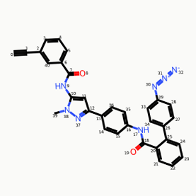 C#Cc1cccc(C(=O)Nc2cc(-c3ccc(NC(=O)c4ccccc4-c4ccc(N=[N+]=[N-])cc4)cc3)nn2C)c1